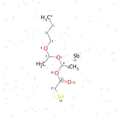 CCCCOC(C)OC(C)OC(=O)CS.[Sb]